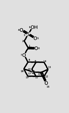 O=C(CS(=O)(=O)O)OC1C2CC3CC(C2)C(=O)OC1C3